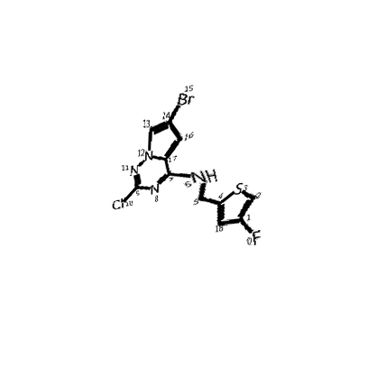 Fc1csc(CNc2nc(Cl)nn3cc(Br)cc23)c1